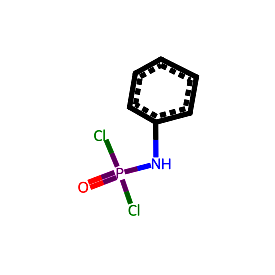 O=P(Cl)(Cl)Nc1ccccc1